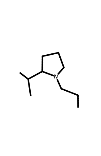 CCCN1CCCC1C(C)C